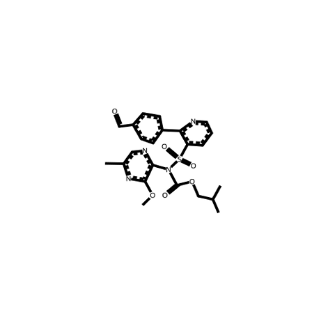 COc1nc(C)cnc1N(C(=O)OCC(C)C)S(=O)(=O)c1cccnc1-c1ccc(C=O)cc1